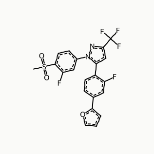 CS(=O)(=O)c1ccc(-n2nc(C(F)(F)F)cc2-c2ccc(-c3ccco3)cc2F)cc1F